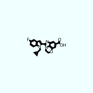 O=C(O)c1cc2c3c(c1)nc(-c1cc4cc(F)ccc4n1CC1CC1)n3CCO2